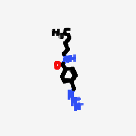 CCCCCNC(=O)c1ccc(CN=[N+]=[N-])cc1